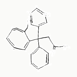 COc1ccccc1C(CC(N)=O)(c1ccccc1)c1cncnc1